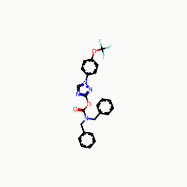 O=C(Oc1ncn(-c2ccc(OC(F)(F)F)cc2)n1)N(Cc1ccccc1)Cc1ccccc1